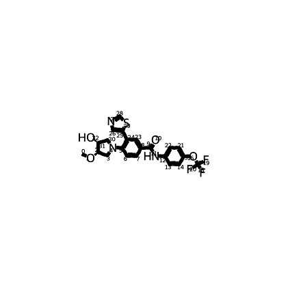 CO[C@@H]1CN(c2ccc(C(=O)Nc3ccc(OC(F)(F)F)cc3)cc2-c2cncs2)C[C@H]1O